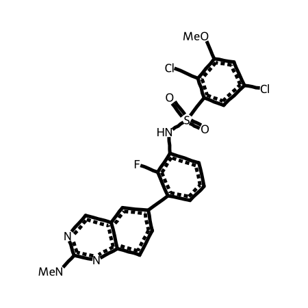 CNc1ncc2cc(-c3cccc(NS(=O)(=O)c4cc(Cl)cc(OC)c4Cl)c3F)ccc2n1